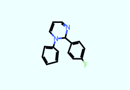 Fc1ccc(C2N=CC=CN2c2ccccc2)cc1